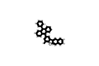 Cc1cc(-c2c3ccccc3c(-c3ccccc3)c3ccccc23)cc2c1oc1cc3ccccc3cc12